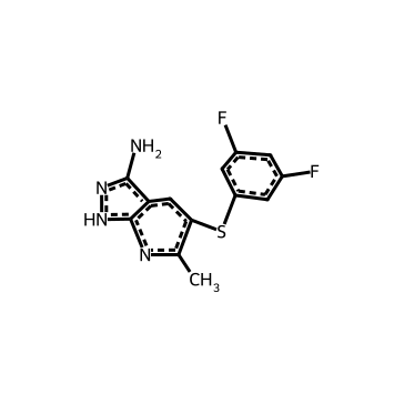 Cc1nc2[nH]nc(N)c2cc1Sc1cc(F)cc(F)c1